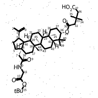 C=C(C)[C@@H]1CC[C@]2(CC(=O)NCC(=O)OC(C)(C)C)CC[C@]3(C)[C@H](CC[C@@H]4[C@@]5(C)CC[C@H](OC(=O)CC(C)(C)CC(=O)O)C(C)(C)[C@@H]5CC[C@]43C)[C@@H]12